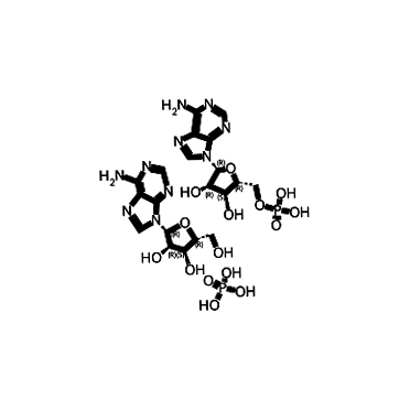 Nc1ncnc2c1ncn2[C@@H]1O[C@H](CO)[C@@H](O)[C@H]1O.Nc1ncnc2c1ncn2[C@@H]1O[C@H](COP(=O)(O)O)[C@@H](O)[C@H]1O.O=P(O)(O)O